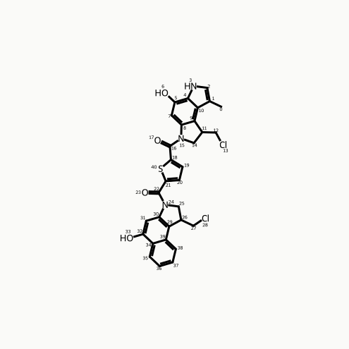 Cc1c[nH]c2c(O)cc3c(c12)C(CCl)CN3C(=O)c1ccc(C(=O)N2CC(CCl)c3c2cc(O)c2ccccc32)s1